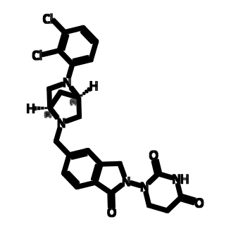 O=C1CCN(N2Cc3cc(CN4C[C@H]5C[C@@H]4CN5c4cccc(Cl)c4Cl)ccc3C2=O)C(=O)N1